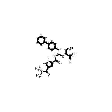 CN(C)C(=O)c1cc(C(=O)N[C@H](Cc2ccc(-c3ccccc3)cc2)C[C@H](CO)C(=O)O)[nH]n1